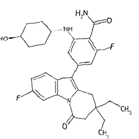 CCC1(CC)CC(=O)n2c(c(-c3cc(F)c(C(N)=O)c(N[C@H]4CC[C@H](O)CC4)c3)c3ccc(F)cc32)C1